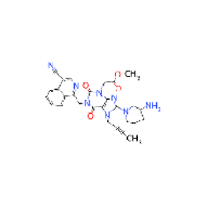 CC#CCn1c(N2CCCC(N)C2)nc2c1c(=O)n(Cc1ncc(C#N)c3ccccc13)c(=O)n2CC(=O)OC